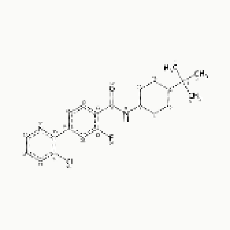 CC(C)(C)C1CCC(NC(=O)c2ccc(-c3ncccc3Cl)cc2F)CC1